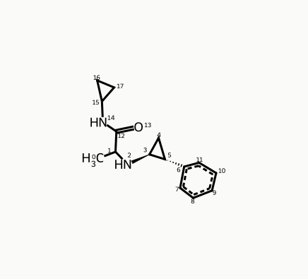 CC(N[C@H]1C[C@@H]1c1ccccc1)C(=O)NC1CC1